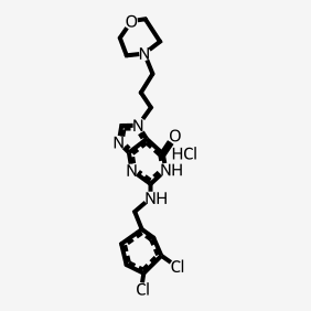 Cl.O=c1[nH]c(NCc2ccc(Cl)c(Cl)c2)nc2ncn(CCCN3CCOCC3)c12